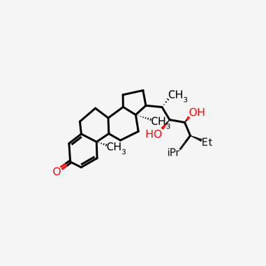 CC[C@@H](C(C)C)[C@H](O)[C@@H](O)[C@@H](C)C1CCC2C3CCC4=CC(=O)C=C[C@]4(C)C3CC[C@@]21C